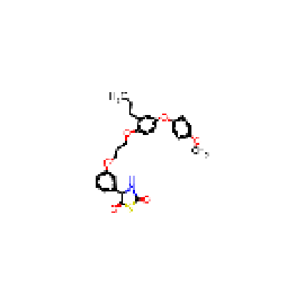 CCCc1cc(Oc2ccc(OC)cc2)ccc1OCCCOc1cccc(C2NC(=O)SC2=O)c1